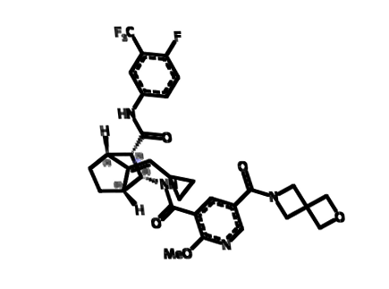 COc1ncc(C(=O)N2CC3(COC3)C2)cc1C(=O)N[C@H]1[C@@H](C(=O)Nc2ccc(F)c(C(F)(F)F)c2)[C@H]2CC[C@@H]1/C2=C\C1CC1